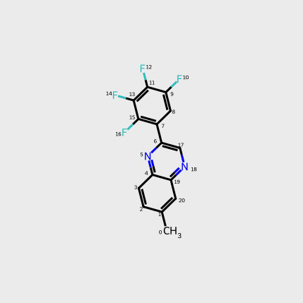 Cc1ccc2nc(-c3cc(F)c(F)c(F)c3F)cnc2c1